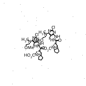 COCCN(C)c1nc(Cl)nc(NNC(=O)[C@@H](CNC(=O)O)CC2CCCC2)c1F.COCCN(C)c1nc(Cl)nc(NNC(=O)[C@@H](CNC(=O)O)CC2CCCC2)c1F